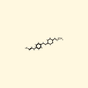 COCC1CCC(CCc2ccc(CC=CF)cc2)CC1